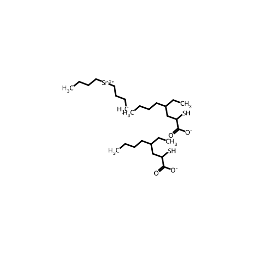 CCCCC(CC)CC(S)C(=O)[O-].CCCCC(CC)CC(S)C(=O)[O-].CCC[CH2][Sn+2][CH2]CCC